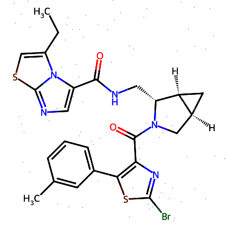 CCc1csc2ncc(C(=O)NC[C@@H]3[C@H]4C[C@H]4CN3C(=O)c3nc(Br)sc3-c3cccc(C)c3)n12